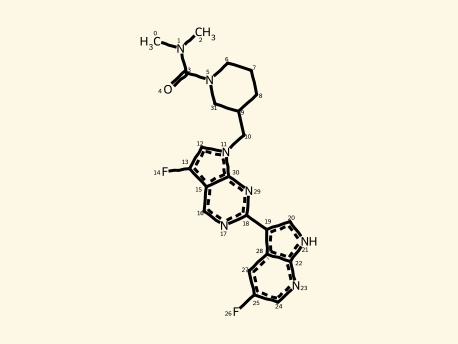 CN(C)C(=O)N1CCCC(Cn2cc(F)c3cnc(-c4c[nH]c5ncc(F)cc45)nc32)C1